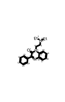 CCN(CC)CCn1c(=O)c(-c2ccccc2)nc2ccccc21